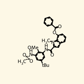 COc1c(NC(=O)c2cc3cccc(OC(=O)c4ccccc4)c3n2C)cc(C(C)(C)C)cc1NS(C)(=O)=O